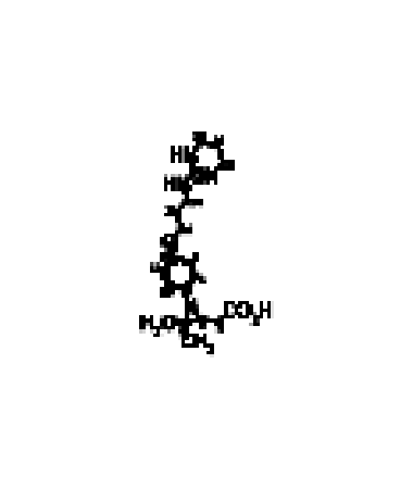 CC1(C)C(CC(=O)O)C1c1ccc(OCCCNC2=NCCCN2)cc1